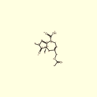 CC(=O)OCC1=CC[C@H](C(=O)O)C2=CC(C)C(=O)[C@@]2(C)C1